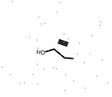 C#C.CCCO